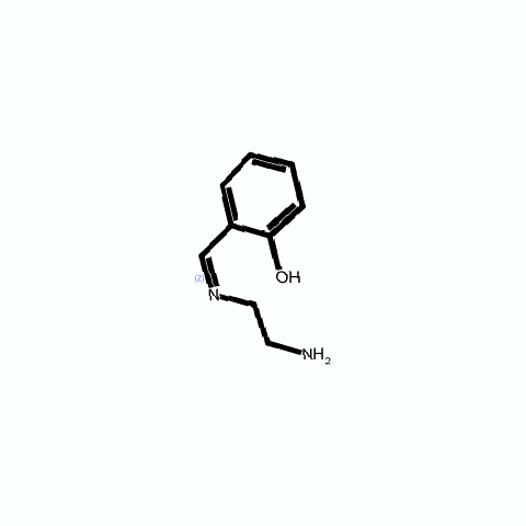 NCC/N=C\c1ccccc1O